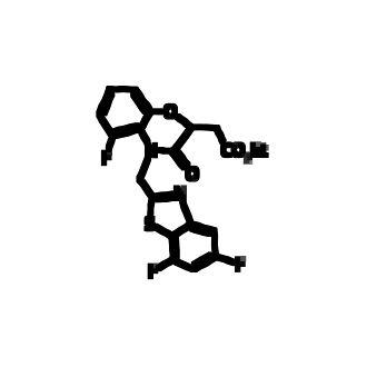 CCOC(=O)CC1Oc2cccc(F)c2N(Cc2nc3cc(F)cc(F)c3s2)C1=O